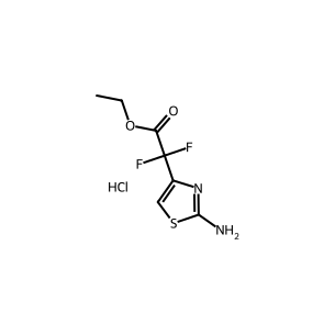 CCOC(=O)C(F)(F)c1csc(N)n1.Cl